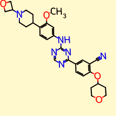 COc1cc(Nc2ncnc(-c3ccc(OC4CCOCC4)c(C#N)c3)n2)ccc1C1CCN(C2COC2)CC1